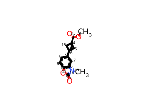 COC(=O)C12CC(c3ccc4oc(=O)n(C)c4c3)(C1)C2